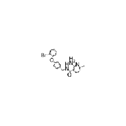 Cc1ccc(C(=O)NCc2ccc(Oc3ccccc3Br)cc2)c(N)n1